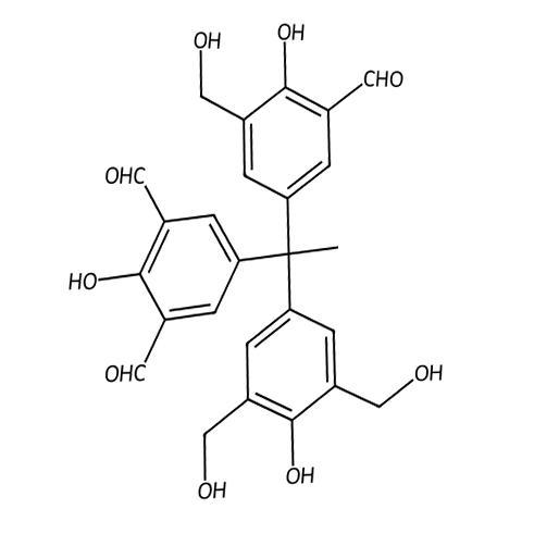 CC(c1cc(C=O)c(O)c(C=O)c1)(c1cc(C=O)c(O)c(CO)c1)c1cc(CO)c(O)c(CO)c1